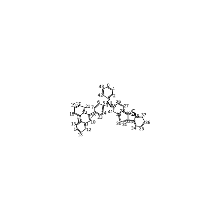 c1ccc(N(c2ccc(-c3cc4ccccc4c4ccccc34)cc2)c2ccc3c(ccc4c5ccccc5sc34)c2)cc1